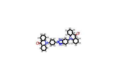 O=c1c2ccccc2n(-c2ccc(-n3nc4ccc(-n5c6ccccc6c(=O)c6ccccc65)cc4n3)cc2)c2ccccc12